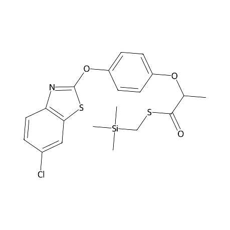 CC(Oc1ccc(Oc2nc3ccc(Cl)cc3s2)cc1)C(=O)SC[Si](C)(C)C